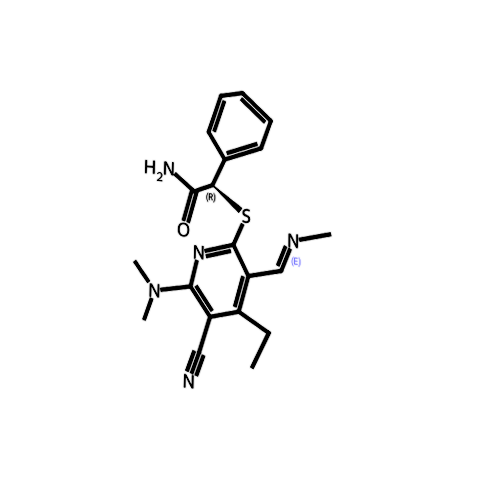 CCc1c(C#N)c(N(C)C)nc(S[C@@H](C(N)=O)c2ccccc2)c1/C=N/C